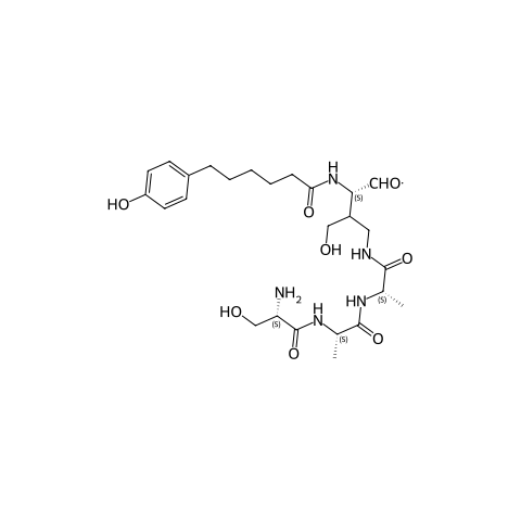 C[C@H](NC(=O)[C@H](C)NC(=O)[C@@H](N)CO)C(=O)NCC(CO)[C@@H]([C]=O)NC(=O)CCCCCc1ccc(O)cc1